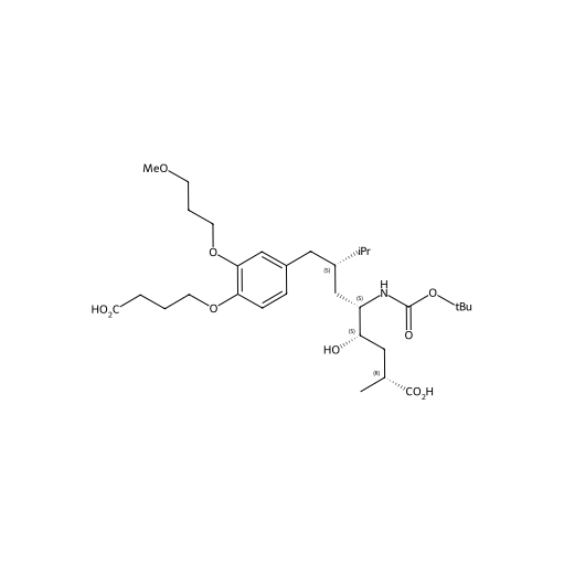 COCCCOc1cc(C[C@@H](C[C@H](NC(=O)OC(C)(C)C)[C@@H](O)C[C@@H](C)C(=O)O)C(C)C)ccc1OCCCC(=O)O